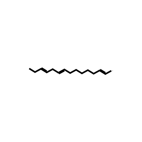 [CH2]C=CCCCCCC=CCC=CCC